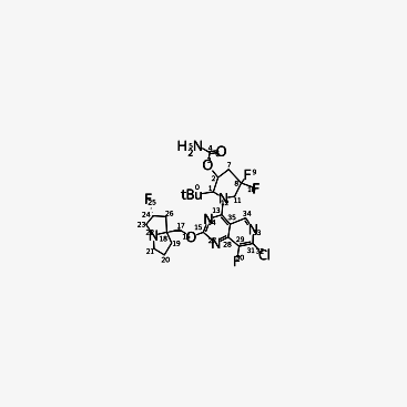 CC(C)(C)C1C(OC(N)=O)CC(F)(F)CN1c1nc(OC[C@@]23CCCN2C[C@H](F)C3)nc2c(F)c(Cl)ncc12